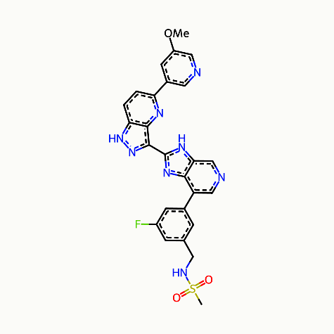 COc1cncc(-c2ccc3[nH]nc(-c4nc5c(-c6cc(F)cc(CNS(C)(=O)=O)c6)cncc5[nH]4)c3n2)c1